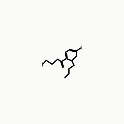 C=C(CCCI)C1=CC=C(I)CC1CCCC